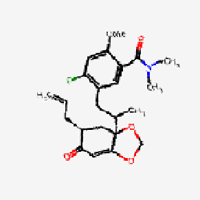 C=CC[C@H]1C[C@]2(C(C)Cc3cc(C(=O)N(C)C)c(OC)cc3F)OCOC2=CC1=O